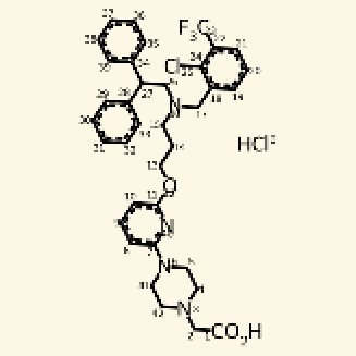 Cl.O=C(O)CN1CCN(c2cccc(OCCCN(Cc3cccc(C(F)(F)F)c3Cl)CC(c3ccccc3)c3ccccc3)n2)CC1